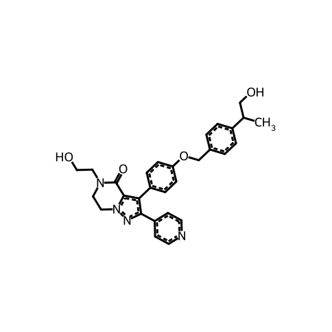 CC(CO)c1ccc(COc2ccc(-c3c(-c4ccncc4)nn4c3C(=O)N(CCO)CC4)cc2)cc1